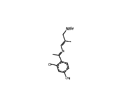 CNC/C(C)=C/N=C(\C)c1ccc(C#N)cc1Cl